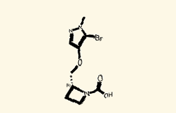 Cn1ncc(OC[C@H]2CCN2C(=O)O)c1Br